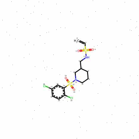 C=CS(=O)(=O)NCC1CCCN(S(=O)(=O)c2cc(Cl)ccc2Cl)C1